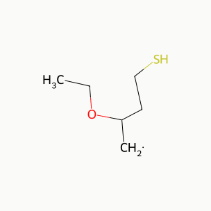 [CH2]C(CCS)OCC